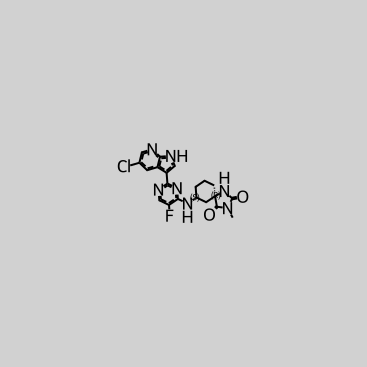 CN1C(=O)N[C@@]2(CCC[C@H](Nc3nc(-c4c[nH]c5ncc(Cl)cc45)ncc3F)C2)C1=O